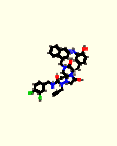 C#CCN(C(=O)NCc1ccc(Cl)c(Cl)c1)N1CC(=O)N2[C@@H](Cc3ccc(O)c(N)c3)C(=O)N(Cc3cccc4ccccc34)C[C@@H]21